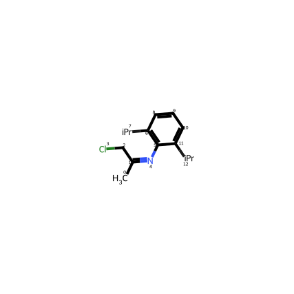 CC(CCl)=Nc1c(C(C)C)cccc1C(C)C